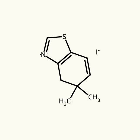 CC1(C)C=CC2=C(C1)[N+]=CS2.[I-]